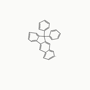 [c]1ccc2cc3c(cc2c1)C(c1ccccc1)(c1ccccc1)c1ccccc1-3